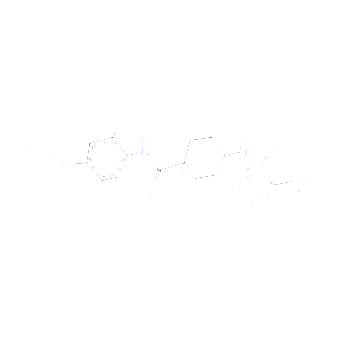 COc1ccc(NC(=O)C2CCC(NS(=O)(=O)C(C)C)CC2)cc1